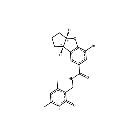 Cc1cc(C)c(CNC(=O)c2cc(Br)c3c(c2)[C@@H]2CCC[C@@H]2O3)c(=O)[nH]1